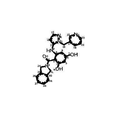 O=C(c1c(O)cc(O)cc1Nc1ccnn1Cc1cccnc1)N1Cc2ccccc2C1